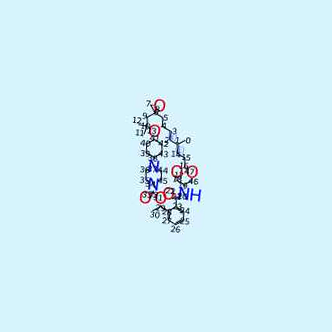 CC(/C=C/C1CC2(CO2)CC(C)(C)O1)=C\CC1OCC(NC(=O)c2ccccc2C(C)OC(=O)N2CCN(C3CCCCC3)CC2)CO1